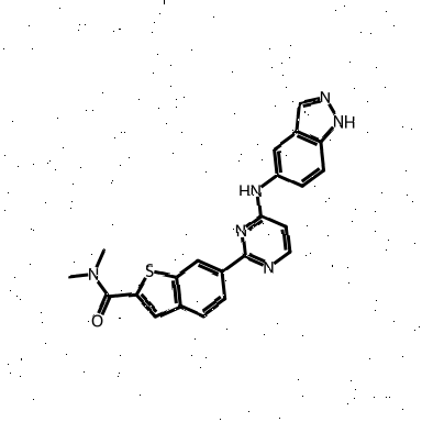 CN(C)C(=O)c1cc2ccc(-c3nccc(Nc4ccc5[nH]ncc5c4)n3)cc2s1